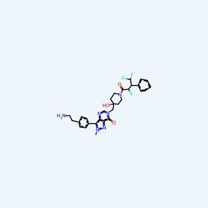 Cn1nc2c(=O)n(CC3(O)CCN(C(=O)C(F)C(c4ccccc4)C(F)F)CC3)cnc2c1-c1ccc(CCN)cc1